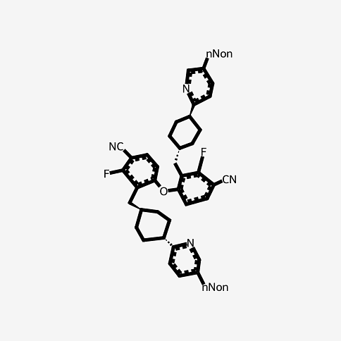 CCCCCCCCCc1ccc([C@H]2CC[C@H](Cc3c(Oc4ccc(C#N)c(F)c4C[C@H]4CC[C@H](c5ccc(CCCCCCCCC)cn5)CC4)ccc(C#N)c3F)CC2)nc1